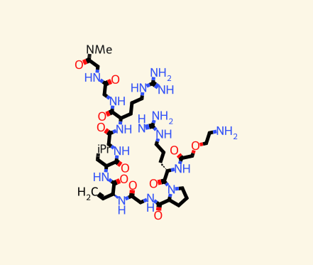 C=C[C@H](NC(=O)CNC(=O)C1CCCN1C(=O)[C@H](CCCNC(=N)N)NC(=O)COCCN)C(=O)NC(CC(C)C)C(=O)NCC(=O)NC(CCCNC(=N)N)C(=O)NCC(=O)NCC(=O)NC